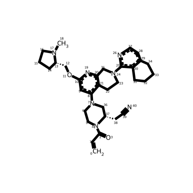 C=CC(=O)N1CCN(c2cc(OC[C@@H]3CCCN3C)nc3c2CCN(c2nccc4c2CCCC4)C3)C[C@@H]1CC#N